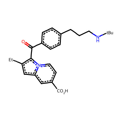 CCc1cc2cc(C(=O)O)ccn2c1C(=O)c1ccc(CCCNC(C)(C)C)cc1